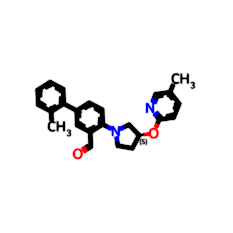 Cc1ccc(O[C@H]2CCN(c3ccc(-c4ccccc4C)cc3C=O)C2)nc1